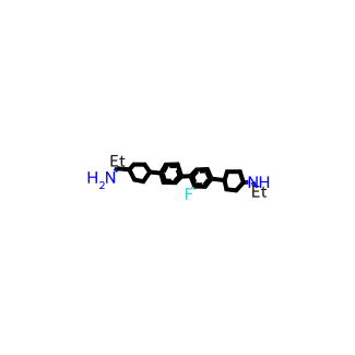 CCNC1CCC(c2ccc(-c3ccc(C4CCC(C(N)CC)CC4)cc3)c(F)c2)CC1